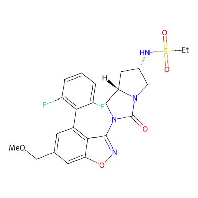 CCS(=O)(=O)N[C@H]1C[C@H]2CN(c3noc4cc(COC)cc(-c5c(F)cccc5F)c34)C(=O)N2C1